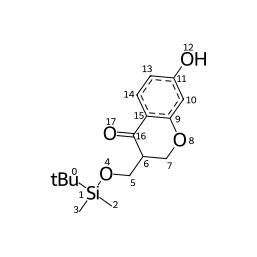 CC(C)(C)[Si](C)(C)OCC1COc2cc(O)ccc2C1=O